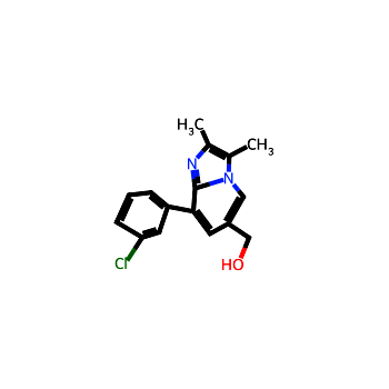 Cc1nc2c(-c3cccc(Cl)c3)cc(CO)cn2c1C